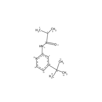 CC(C)C(=O)Nc1cc(C(C)(C)C)ccn1